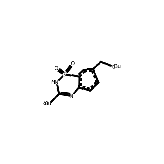 CC(C)(C)Cc1ccc2c(c1)S(=O)(=O)NC(C(C)(C)C)=N2